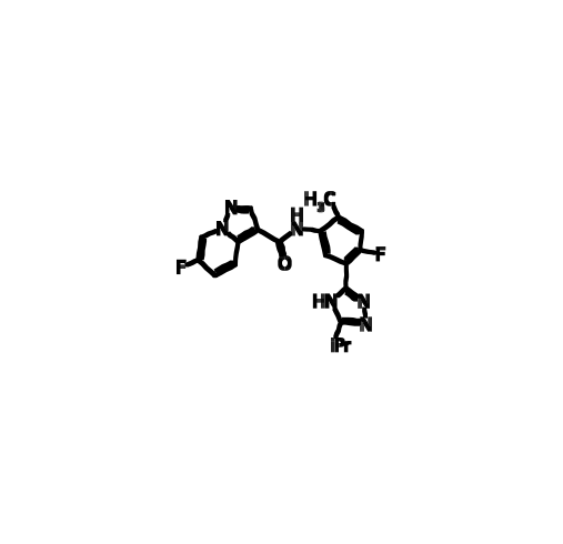 Cc1cc(F)c(-c2nnc(C(C)C)[nH]2)cc1NC(=O)c1cnn2cc(F)ccc12